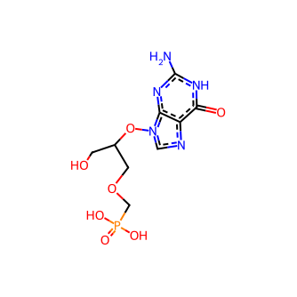 Nc1nc2c(ncn2OC(CO)COCP(=O)(O)O)c(=O)[nH]1